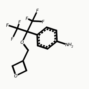 Nc1ccc(C(OCC2COC2)(C(F)(F)F)C(F)(F)F)cc1